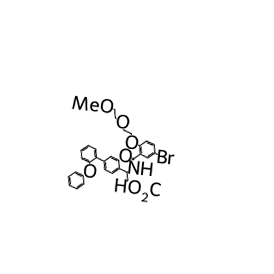 COCCOCCOc1ccc(Br)cc1C(=O)NC(CC(=O)O)c1ccc(-c2ccccc2Oc2ccccc2)cc1